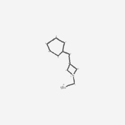 CC(C)(C)CN1CC(CC2CCCCC2)C1